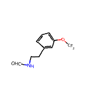 O=CNCCc1cccc(OC(F)(F)F)c1